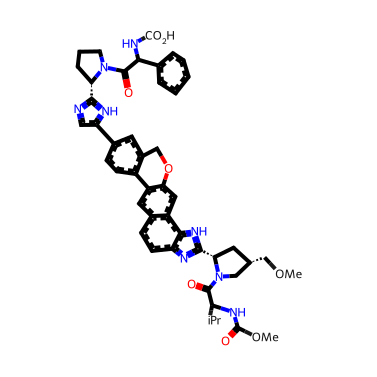 COC[C@H]1C[C@@H](c2nc3ccc4cc5c(cc4c3[nH]2)OCc2cc(-c3cnc([C@@H]4CCCN4C(=O)C(NC(=O)O)c4ccccc4)[nH]3)ccc2-5)N(C(=O)C(NC(=O)OC)C(C)C)C1